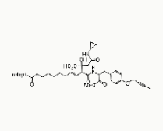 CC#CCOc1ccc(C[C@H](NC(=O)[C@@H](/C=C/CCCCCCC(=O)CCCCCCC)[C@@](O)(CC(=O)NC2CC2)C(=O)O)C(=O)OC)cc1